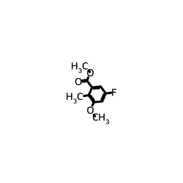 COC(=O)c1cc(F)cc(OC)c1C